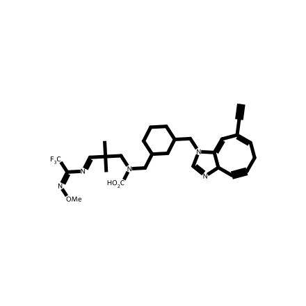 C#CC1=C/CC#CC2N=CN(CC3CCCC(CN(CC(C)(C)/C=N/C(=N\OC)C(F)(F)F)C(=O)O)C3)\C2=C\1